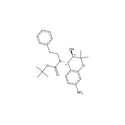 CC(C)(C)OC(=O)N(CCc1ccccc1)[C@H]1c2ccc(N)cc2OC(C)(C)[C@@H]1O